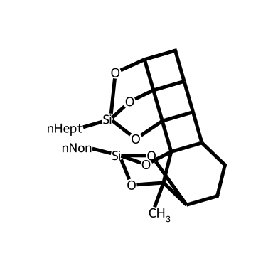 CCCCCCCCC[Si]12OC3CCC4C5C6CC7O[Si]8(CCCCCCC)OC76C5(O8)C4(O1)C3(C)O2